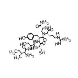 CC[C@H](C)C(N)C(=O)N[C@@H](CO)C(=O)N[C@@H](CS)C(=O)N[C@@H](Cc1ccc(O)cc1)C(=O)N1C[C@H](C(N)=O)NC(=O)[C@@H]1CCCNC(=N)N